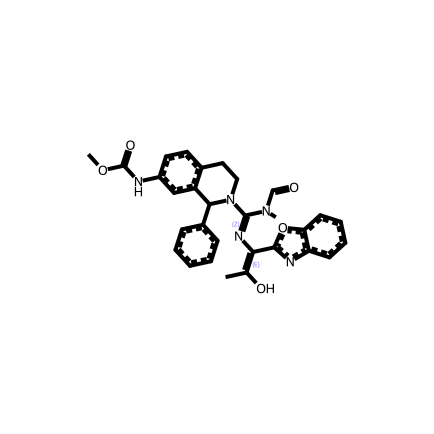 COC(=O)Nc1ccc2c(c1)C(c1ccccc1)N(/C(=N/C(=C(\C)O)c1nc3ccccc3o1)N(C)C=O)CC2